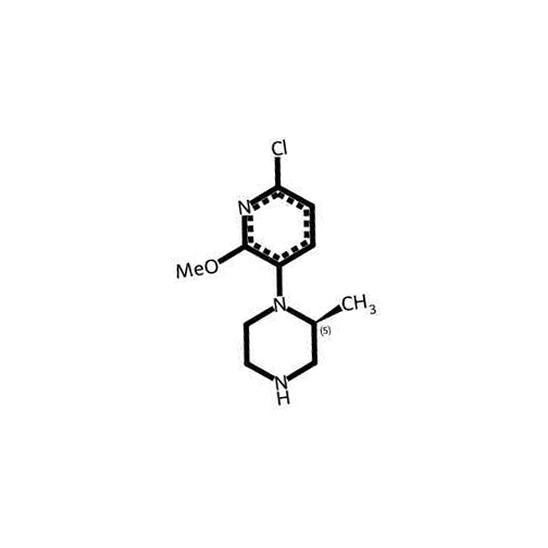 COc1nc(Cl)ccc1N1CCNC[C@@H]1C